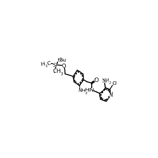 CC(C)(C)[Si](C)(C)OCc1ccc(C(=O)Nc2ccnc(Cl)c2N)c(N)c1